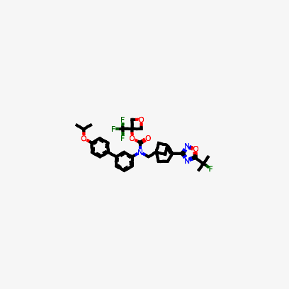 CC(C)Oc1ccc(-c2cccc(N(CC34CCC(c5noc(C(C)(C)F)n5)=C(C3)C4)C(=O)OC3(C(F)(F)F)COC3)c2)cc1